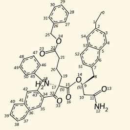 CCc1ccc2cc(C[C@@H](CC(N)=O)OC(=O)[C@](N)(CCCC(=O)OCc3ccccc3)C(=O)c3cc4ccccc4cc3Cc3ccccc3)ccc2c1